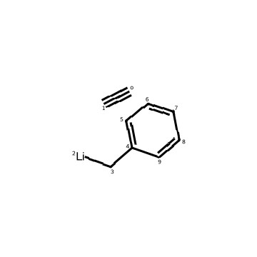 C#C.[Li][CH2]c1ccccc1